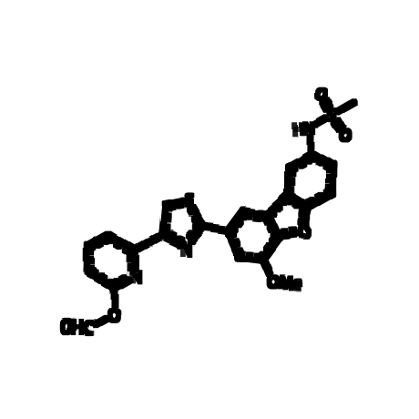 COc1cc(-c2nc(-c3cccc(OC=O)n3)cs2)cc2c1oc1ccc(NS(C)(=O)=O)cc12